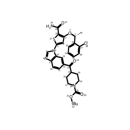 C[C@@H](Oc1cc(-n2cnc3ccc(C(=O)C4CCN(C(=O)OC(C)(C)C)CC4)cc32)sc1C(N)=O)c1ccccc1Cl